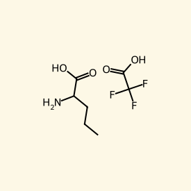 CCCC(N)C(=O)O.O=C(O)C(F)(F)F